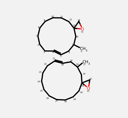 CC1C/C=C/CCCCCCCCC2(CO2)C1.CC1C/C=C/CCCCCCCCCC2(CO2)C1